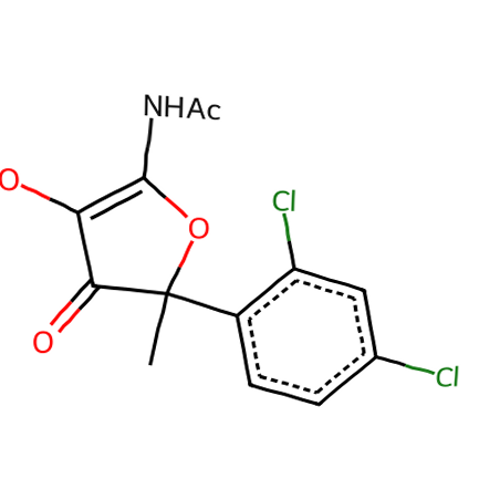 CC(=O)NC1=C(O)C(=O)C(C)(c2ccc(Cl)cc2Cl)O1